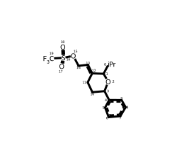 CC(C)C1OC(c2ccccc2)CC/C1=C\COS(=O)(=O)C(F)(F)F